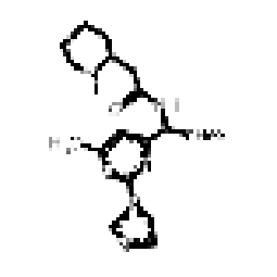 CCCCCCC(NC(=O)CC1CCCCN1)c1cc(C)nc(-n2ccnc2)n1